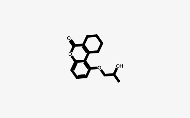 [CH2]C(O)COc1cccc2oc(=O)c3c(c12)CCCC3